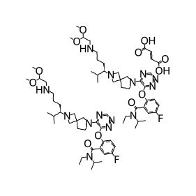 CCN(C(=O)c1cc(F)ccc1Oc1nncnc1N1CCC2(C1)CN([C@H](CCCNCC(OC)OC)C(C)C)C2)C(C)C.CCN(C(=O)c1cc(F)ccc1Oc1nncnc1N1CCC2(C1)CN([C@H](CCCNCC(OC)OC)C(C)C)C2)C(C)C.O=C(O)/C=C/C(=O)O